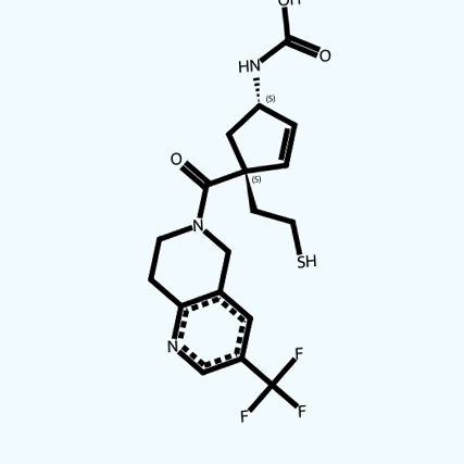 O=C(O)N[C@@H]1C=C[C@](CCS)(C(=O)N2CCc3ncc(C(F)(F)F)cc3C2)C1